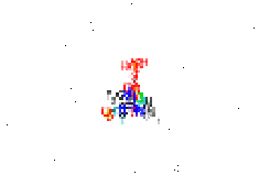 CC(C)(C#Cc1ccc(-c2ccc(Cl)c3c(N(C(=O)OCCOCCOP(=O)(O)O)S(C)(=O)=O)nn(CC(F)(F)F)c23)c([C@H](Cc2cc(F)cc(F)c2)NC(=O)Cn2nc(C(F)(F)F)c3c2C(F)(F)[C@@H]2C[C@H]32)n1)S(C)(=O)=O